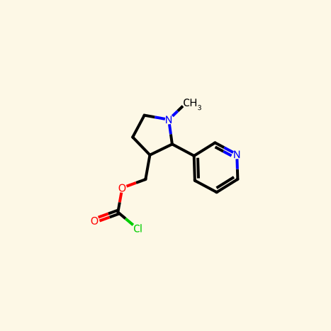 CN1CCC(COC(=O)Cl)C1c1cccnc1